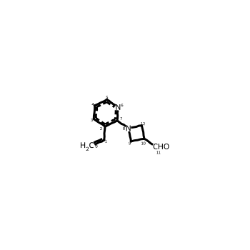 C=Cc1cccnc1N1CC(C=O)C1